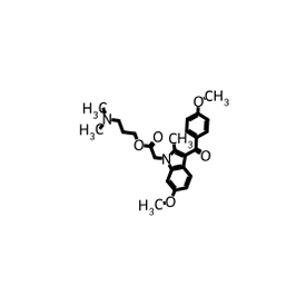 COc1ccc(C(=O)c2c(C)n(CC(=O)OCCCN(C)C)c3cc(OC)ccc23)cc1